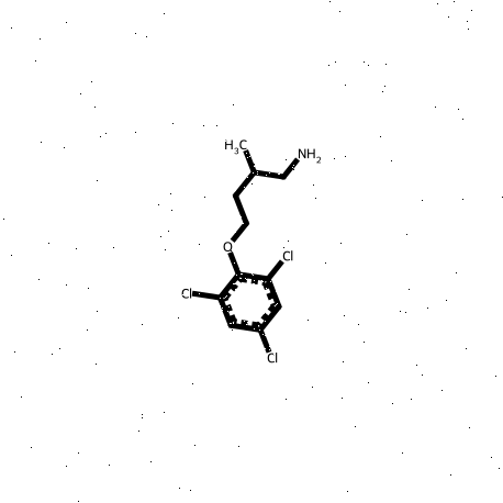 CC(CN)CCOc1c(Cl)cc(Cl)cc1Cl